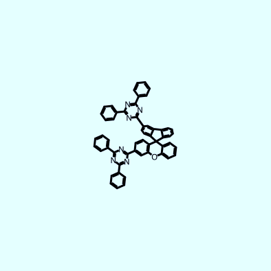 c1ccc(-c2nc(-c3ccccc3)nc(-c3ccc4c(c3)Oc3ccccc3C43c4ccccc4-c4cc(-c5nc(-c6ccccc6)nc(-c6ccccc6)n5)ccc43)n2)cc1